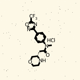 CN(C(=O)C[C@H]1COCCN1)c1ccc(-c2noc(C(F)(F)F)n2)cc1.Cl